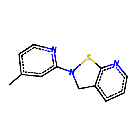 Cc1ccnc(N2Cc3cccnc3S2)c1